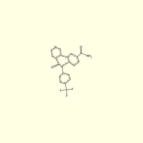 NC(=O)c1ccc2c(c1)c1cnccc1c(=O)n2-c1ccc(C(F)(F)F)cc1